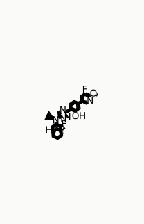 COc1ncc(-c2ccc(-c3ncc(N(C4CC4)[C@@H]4C[C@H]5CCC[C@](C)(C5)[C@@H]4F)nn3)c(O)c2)cc1F